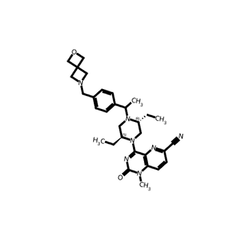 CC[C@H]1CN(C(C)c2ccc(CN3CC4(COC4)C3)cc2)[C@H](CC)CN1c1nc(=O)n(C)c2ccc(C#N)nc12